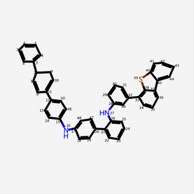 C1=CC(c2ccccc2)CC=C1c1ccc(Nc2ccc(-c3ccccc3Nc3cccc(-c4cccc5c4sc4ccccc45)c3)cc2)cc1